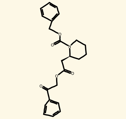 O=C(C[C@@H]1CCCCN1C(=O)OCc1ccccc1)OCC(=O)c1ccccc1